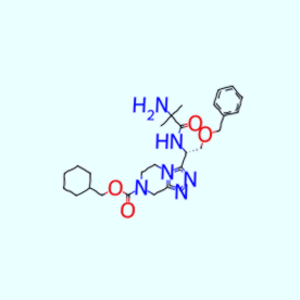 CC(C)(N)C(=O)N[C@H](COCc1ccccc1)c1nnc2n1CCN(C(=O)OCC1CCCCC1)C2